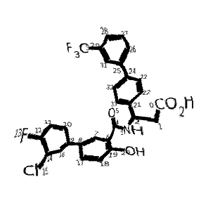 O=C(O)CC(NC(=O)c1cc(-c2ccc(F)c(Cl)c2)ccc1O)c1ccc(-c2cccc(C(F)(F)F)c2)cc1